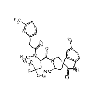 CN(C(=O)Cc1cccc(C(F)(F)F)n1)[C@@H](CC(C)(C)F)C(=O)N1C[C@]2(CC1C#N)C(=O)Nc1ccc(Cl)cc12